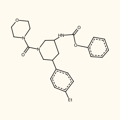 CCc1ccc(C2CC(NC(=O)Oc3ccccc3)CN(C(=O)N3CCOCC3)C2)cc1